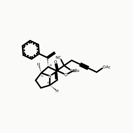 C=C(c1ccccc1)[C@@H]1C(C(C#N)(C#N)CC#CCOC(C)=O)=C[C@H]2CC[C@@H]1N2C(=O)OC(C)(C)C